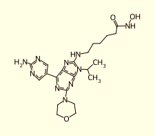 CC(C)n1c(NCCCCCC(=O)NO)nc2c(-c3cnc(N)nc3)nc(N3CCOCC3)nc21